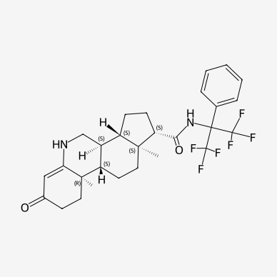 C[C@]12CC[C@H]3[C@@H](CNC4=CC(=O)CC[C@@]43C)[C@@H]1CC[C@@H]2C(=O)NC(c1ccccc1)(C(F)(F)F)C(F)(F)F